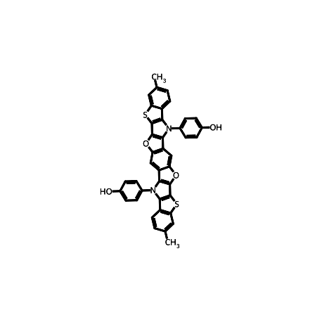 Cc1ccc2c(c1)sc1c3oc4cc5c(cc4c3n(-c3ccc(O)cc3)c21)oc1c2sc3cc(C)ccc3c2n(-c2ccc(O)cc2)c51